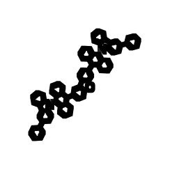 c1ccc(-c2ccc3c(c2)c2ccccc2n3-c2c3ccccc3c(-c3ccc4c(c3)oc3ccc(-c5c6ccccc6c(-n6c7ccccc7c7cc(-c8ccccc8)ccc76)c6ccccc56)cc34)c3ccccc23)cc1